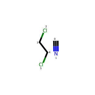 C#N.ClCCCl